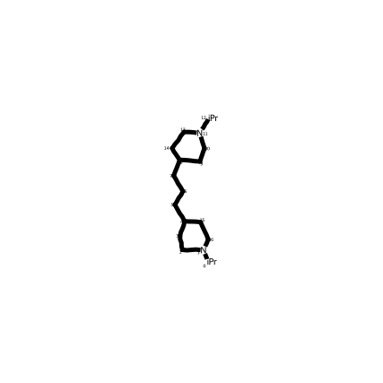 CC(C)N1CCC(CCCC2CCN(C(C)C)CC2)CC1